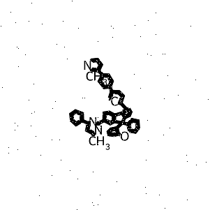 Cc1cc(-c2ccccc2)nc(-c2ccc3c(c2)C2(c4ccccc4Oc4ccccc42)c2cccc(-c4ccc(-c5ccc(-c6cccnc6C)cc5)cc4)c2-3)n1